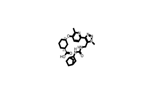 Cc1nc(-c2nnn(C)c2CNC(=O)NC2CC3CCC2C3)ccc1O[C@H]1CCC[C@H](C(=O)O)C1